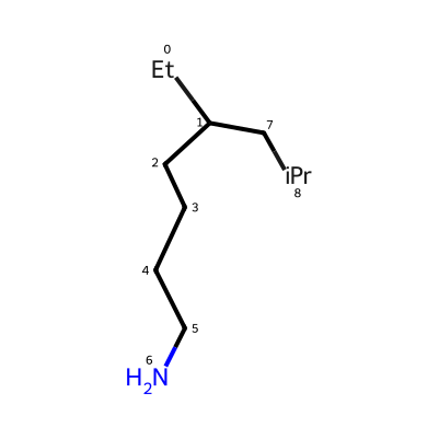 CCC(CCCCN)CC(C)C